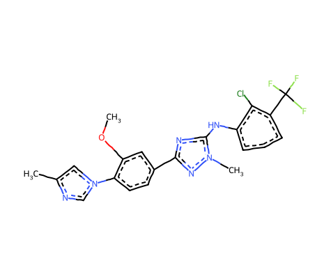 COc1cc(-c2nc(Nc3cccc(C(F)(F)F)c3Cl)n(C)n2)ccc1-n1cnc(C)c1